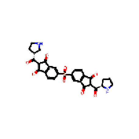 O=C1c2ccc(S(=O)(=O)c3ccc4c(c3)C(=O)C(C(=O)[C@H]3CCCN3)C4=O)cc2C(=O)C1C(=O)[C@@H]1CCNC1